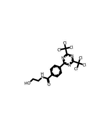 O=C(NCCO)c1ccc(-c2nc(C(Cl)(Cl)Cl)nc(C(Cl)(Cl)Cl)n2)cc1